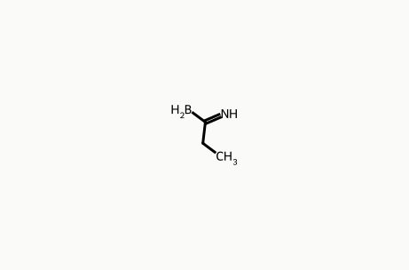 BC(=N)CC